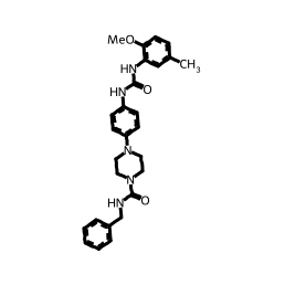 COc1ccc(C)cc1NC(=O)Nc1ccc(N2CCN(C(=O)NCc3ccccc3)CC2)cc1